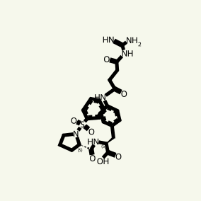 N=C(N)NC(=O)CCC(=O)Nc1ccc(C[C@H](NC(=O)[C@@H]2CCCN2S(=O)(=O)c2ccccc2)C(=O)O)cc1